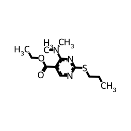 CCCSc1ncc(C(=O)OCC)c(N(C)C)n1